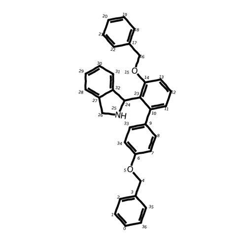 c1ccc(COc2ccc(-c3cccc(OCc4ccccc4)c3C3NCc4ccccc43)cc2)cc1